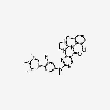 C[C@@H]1CN(c2ccc(Nc3ncc4c(n3)N3CCN=C3N(c3c(Cl)cccc3Cl)C4=O)cc2F)C[C@H](C)N1C